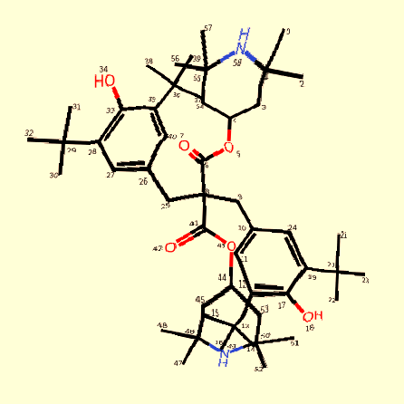 CC1(C)CC(OC(=O)C(Cc2cc(C(C)(C)C)c(O)c(C(C)(C)C)c2)(Cc2cc(C(C)(C)C)c(O)c(C(C)(C)C)c2)C(=O)OC2CC(C)(C)NC(C)(C)C2)CC(C)(C)N1